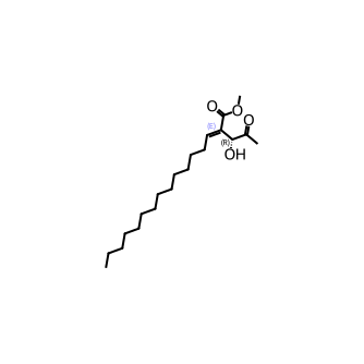 CCCCCCCCCCCCC/C=C(/C(=O)OC)[C@@H](O)C(C)=O